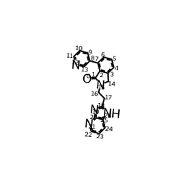 O=C1c2c(cccc2-c2cccnc2)CN1CCc1nc2ncccc2[nH]1